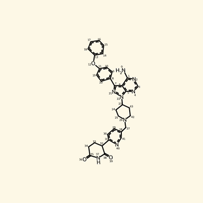 Nc1ncnc2c1c(-c1ccc(Oc3ccccc3)cc1)nn2C1CCN(Cc2ccc(C3CCC(=O)NC3=O)nc2)CC1